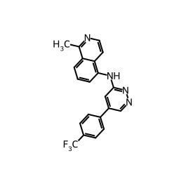 Cc1nccc2c(Nc3cc(-c4ccc(C(F)(F)F)cc4)cnn3)cccc12